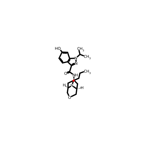 CCCCN1[C@@H]2COC[C@H]1C[C@@H](NC(=O)c1nn(C(C)C)c3cc(O)ccc13)C2